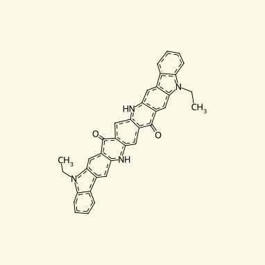 CCn1c2ccccc2c2cc3[nH]c4cc5c(=O)c6cc7c(cc6[nH]c5cc4c(=O)c3cc21)c1ccccc1n7CC